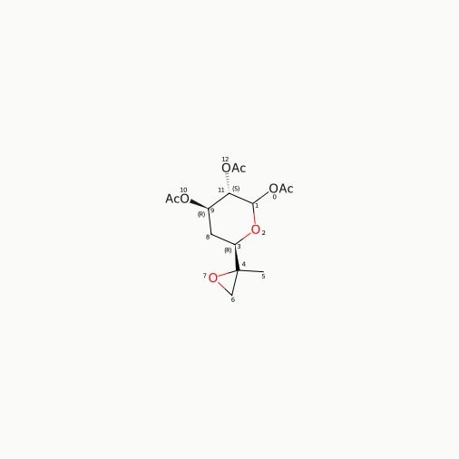 CC(=O)OC1O[C@@H](C2(C)CO2)C[C@@H](OC(C)=O)[C@@H]1OC(C)=O